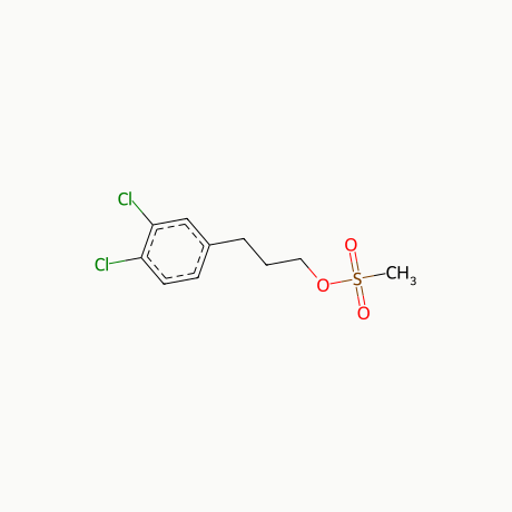 CS(=O)(=O)OCCCc1ccc(Cl)c(Cl)c1